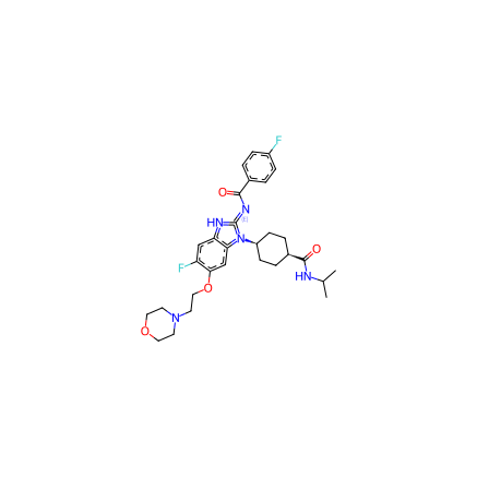 CC(C)NC(=O)[C@H]1CC[C@@H](n2/c(=N/C(=O)c3ccc(F)cc3)[nH]c3cc(F)c(OCCN4CCOCC4)cc32)CC1